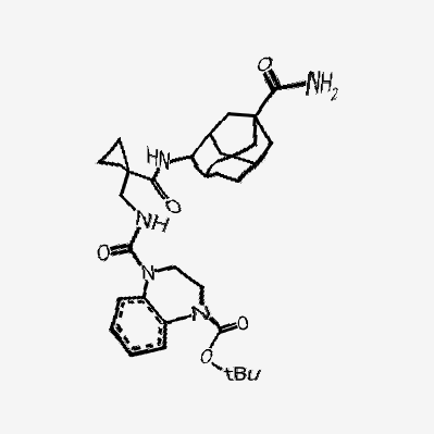 CC(C)(C)OC(=O)N1CCN(C(=O)NCC2(C(=O)NC3C4CC5CC3CC(C(N)=O)(C5)C4)CC2)c2ccccc21